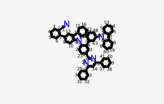 N#Cc1ccccc1-c1ccc2c(c1)c1ccccc1n2-c1ccc(-c2nc(-c3ccccc3)cc(-c3ccccc3)n2)cc1-c1cccc(-n2c3ccccc3c3ccccc32)c1